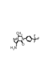 C[C@H]1CN(c2ccc(C(F)(F)F)cc2)C(=O)c2c(CN)cnn21